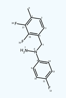 Cc1ccc(CN(N)c2ccc(F)cc2)c(F)c1F